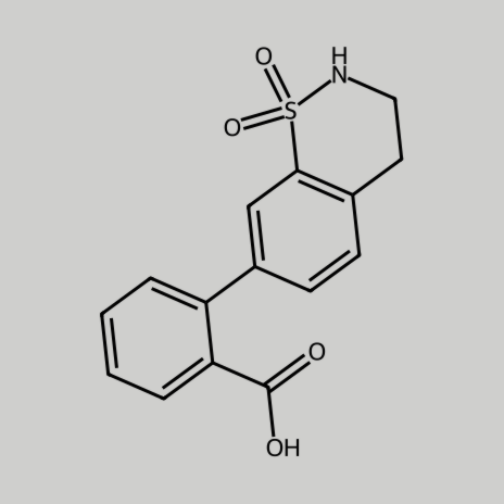 O=C(O)c1ccccc1-c1ccc2c(c1)S(=O)(=O)NCC2